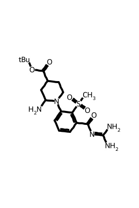 CC(C)(C)OC(=O)C1CCN(c2cccc(C(=O)N=C(N)N)c2S(C)(=O)=O)C(N)C1